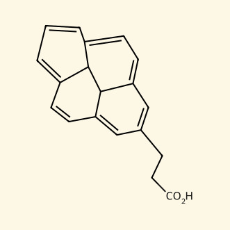 O=C(O)CCC1=CC2=CC=C3C=CC=C4C=CC(=C1)C2C43